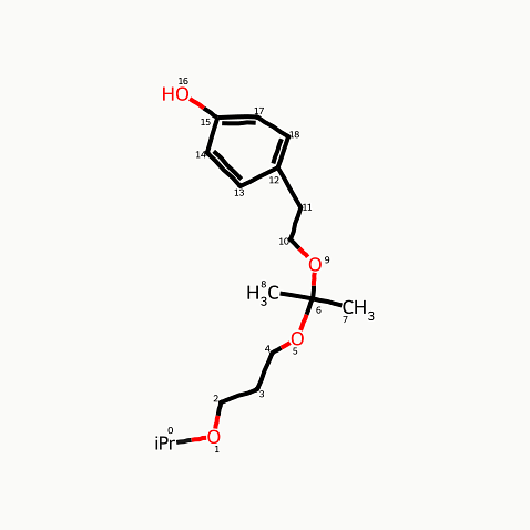 CC(C)OCCCOC(C)(C)OCCc1ccc(O)cc1